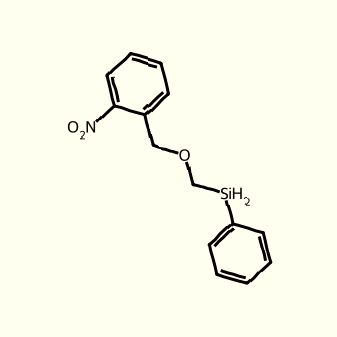 O=[N+]([O-])c1ccccc1COC[SiH2]c1ccccc1